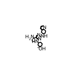 C[C@]1(O)CCC[C@@H](Nc2nc(NC3CCc4ncccc4C3)ncc2C(N)=O)C1